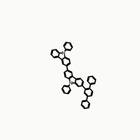 c1ccc(-c2ccc(-c3ccccc3)c(-c3ccc4c5cc(-c6ccc7c(c6)c6ccccc6n7-c6ccccc6)ccc5n(-c5ccccc5)c4c3)c2)cc1